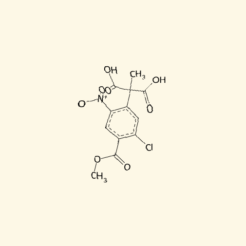 COC(=O)c1cc([N+](=O)[O-])c(C(C)(C(=O)O)C(=O)O)cc1Cl